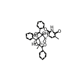 Cc1cn([C@@H]2O[C@H]([C@@](C)(O)C(=O)c3ccccc3)[C@](O)(C(=O)c3ccccc3)[C@]2(O)C(=O)c2ccccc2)c(=O)[nH]c1=O